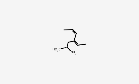 C/C=C\C(=C/C)C[C@@H](N)C(=O)O